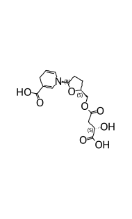 O=C(C[C@H](O)C(=O)O)OC[C@@H]1CC[C@H](N2C=CCC(C(=O)O)=C2)O1